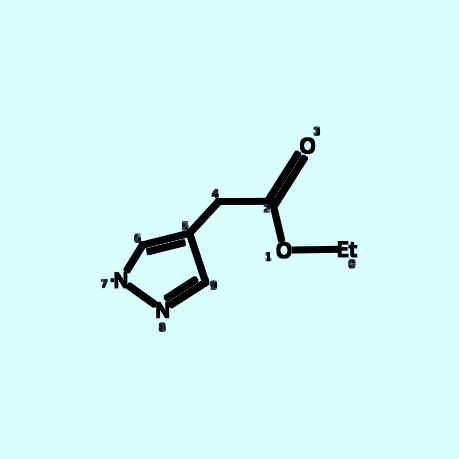 CCOC(=O)CC1=C[N]N=C1